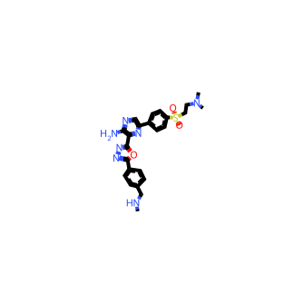 CNCc1ccc(-c2nnc(-c3nc(-c4ccc(S(=O)(=O)CCN(C)C)cc4)cnc3N)o2)cc1